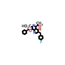 CC(O)c1nc(C(=O)O)c(OCc2ccccc2)c2ncc(Cc3ccc(F)cc3)cc12